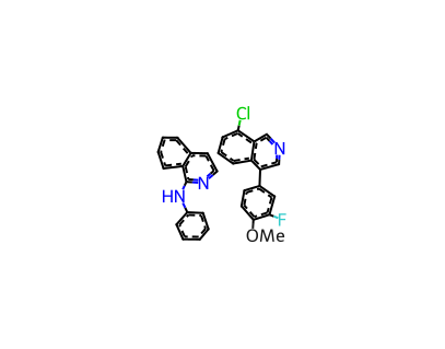 COc1ccc(-c2cncc3c(Cl)cccc23)cc1F.c1ccc(Nc2nccc3ccccc23)cc1